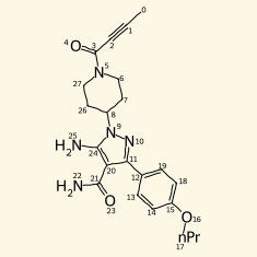 CC#CC(=O)N1CCC(n2nc(-c3ccc(OCCC)cc3)c(C(N)=O)c2N)CC1